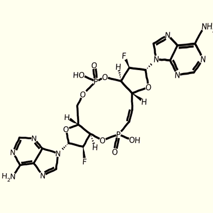 Nc1ncnc2c1ncn2[C@@H]1O[C@@H]2/C=C\P(=O)(O)O[C@H]3[C@@H](F)[C@H](n4cnc5c(N)ncnc54)O[C@@H]3COP(=O)(O)O[C@H]2[C@H]1F